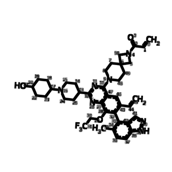 C=CC(=O)N1CC2(CCN(c3nc(C4CCN(C5CCC(O)CC5)CC4)nc4c(OCC(F)(F)F)c(-c5c(C)ccc6[nH]ncc56)c(C=C)cc34)CC2)C1